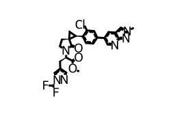 COC(=O)[C@@H](Cc1cnn(C(F)F)c1)N1CC[C@]2(C[C@H]2c2ccc(-c3cnc4nn(C)cc4c3)cc2Cl)C1=O